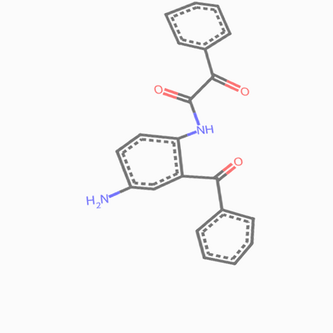 Nc1ccc(NC(=O)C(=O)c2ccccc2)c(C(=O)c2ccccc2)c1